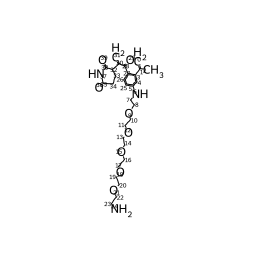 C=C(C)c1cc(NCCOCCOCCOCCOCCOCCN)ccc1C(=O)C(=C)C1CCC(=O)NC1=O